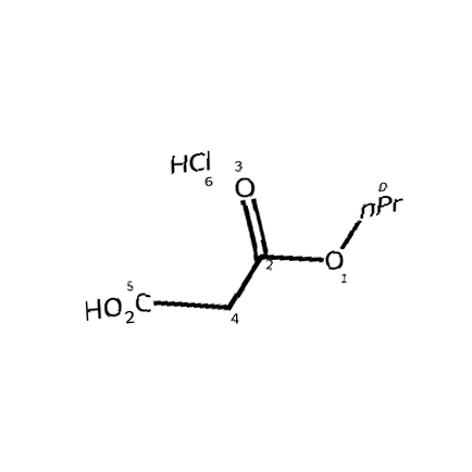 CCCOC(=O)CC(=O)O.Cl